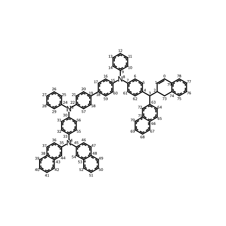 C1=CC(C(c2ccc(N(c3ccccc3)c3ccc(-c4ccc(N(c5ccccc5)c5ccc(N(c6ccc7ccccc7c6)c6ccc7ccccc7c6)cc5)cc4)cc3)cc2)c2ccc3ccccc3c2)Cc2ccccc21